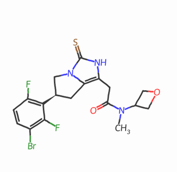 CN(C(=O)Cc1[nH]c(=S)n2c1C[C@@H](c1c(F)ccc(Br)c1F)C2)C1COC1